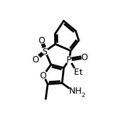 CCP1(=O)c2ccccc2S(=O)(=O)c2oc(C)c(N)c21